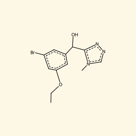 CCOc1cc(Br)cc(C(O)c2nncn2C)c1